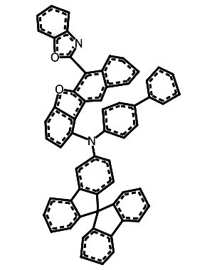 c1ccc(-c2ccc(N(c3ccc4c(c3)-c3ccccc3C43c4ccccc4-c4ccccc43)c3cccc4oc5c(-c6nc7ccccc7o6)c6ccccc6cc5c34)cc2)cc1